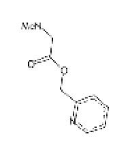 CNCC(=O)OCc1ccccn1